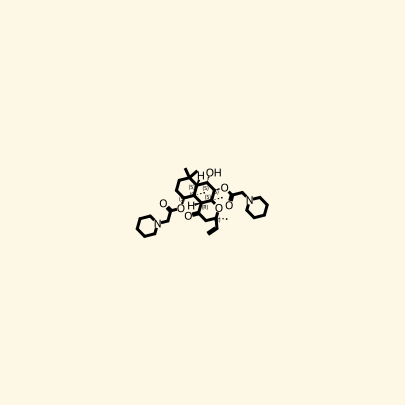 C=C[C@@]1(C)CC(=O)[C@H]2[C@](C)(O1)[C@@H](OC(=O)CN1CCCCC1)[C@@H](O)[C@H]1C(C)(C)CC[C@H](OC(=O)CN3CCCCC3)[C@@]12C